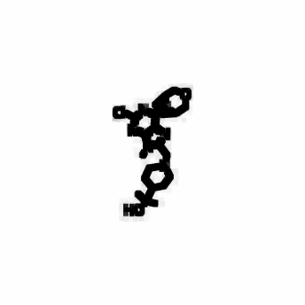 Cn1c(CN2CCC(C(C)(C)O)CC2)nc2c(N3C4CCC3COC4)nc(Cl)nc21